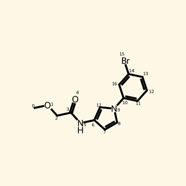 COCC(=O)Nc1ccn(-c2cccc(Br)c2)c1